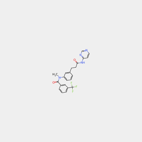 CN(C(=O)c1cccc(C(F)(F)F)c1)c1cccc(CCC(=O)Nc2ccncn2)c1